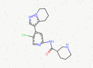 O=C(Nc1cc(-c2cnn3c2CCCC3)c(Cl)cn1)C1CCCNC1